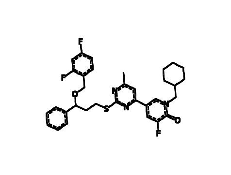 Cc1cc(-c2cc(F)c(=O)n(CC3CCCCC3)c2)nc(SCCC(OCc2ccc(F)cc2F)c2ccccc2)n1